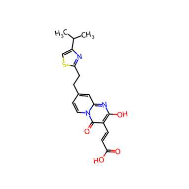 CC(C)c1csc(CCc2ccn3c(=O)c(C=CC(=O)O)c(O)nc3c2)n1